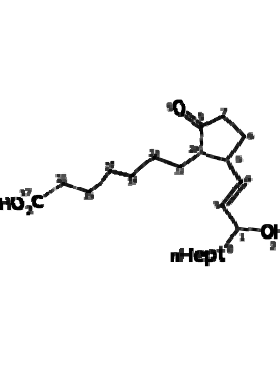 CCCCCCCC(O)C=CC1CCC(=O)C1CCCCCCC(=O)O